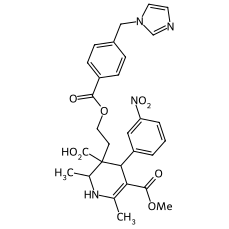 COC(=O)C1=C(C)NC(C)C(CCOC(=O)c2ccc(Cn3ccnc3)cc2)(C(=O)O)C1c1cccc([N+](=O)[O-])c1